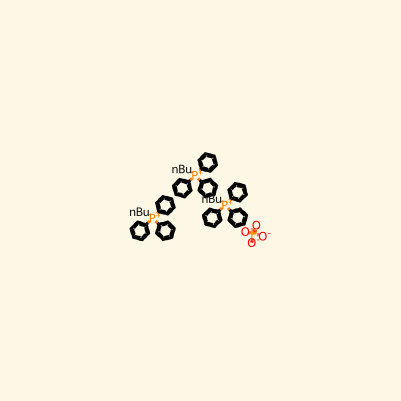 CCCC[P+](c1ccccc1)(c1ccccc1)c1ccccc1.CCCC[P+](c1ccccc1)(c1ccccc1)c1ccccc1.CCCC[P+](c1ccccc1)(c1ccccc1)c1ccccc1.O=P([O-])([O-])[O-]